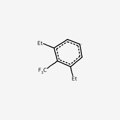 CCc1c[c]cc(CC)c1C(F)(F)F